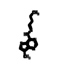 CCCC=NNc1ncnc2c(C)csc12